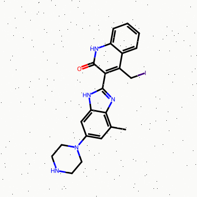 Cc1cc(N2CCNCC2)cc2[nH]c(-c3c(CI)c4ccccc4[nH]c3=O)nc12